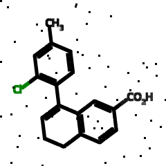 Cc1ccc(C2=CCCc3ccc(C(=O)O)cc32)c(Cl)c1